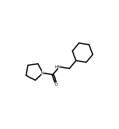 O=C(NCC1CCCCC1)N1CCCC1